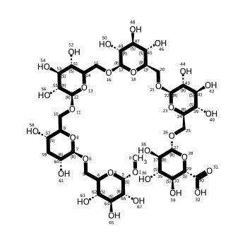 CO[C@H]1OC(CO[C@@H]2OC(CO[C@@H]3OC(CO[C@@H]4O[C@H](CO[C@@H]5O[C@H](CO[C@@H]6O[C@H](C(=O)O)[C@@H](O)[C@H](O)[C@H]6O)[C@@H](O)[C@H](O)[C@H]5O)[C@@H](O)[C@H](O)[C@H]4O)[C@@H](O)[C@H](O)[C@H]3O)[C@@H](O)C[C@H]2O)[C@@H](O)[C@H](O)[C@H]1O